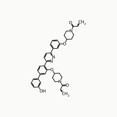 C=CC(=O)N1CCC(Oc2cccc(-c3ccc(-c4ccc(-c5cccc(O)c5)cc4OC4CCN(C(=O)C=C)CC4)nn3)c2)CC1